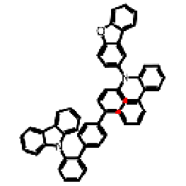 c1ccc(-c2ccccc2N(c2ccc(-c3ccc(-c4ccccc4-n4c5ccccc5c5ccccc54)cc3)cc2)c2ccc3oc4ccccc4c3c2)cc1